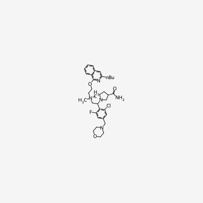 CCCCc1cc2ccccc2c(OCC[N+](C)(C)CC(c2c(F)cc(CN3CCOCC3)cc2Cl)N2CCC(C(N)=O)C2)n1